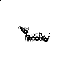 O=C1Cc2cc(-c3cnc4[nH]cc(C(=O)c5c(F)ccc(NS(=O)(=O)c6cccc(F)c6)c5F)c4c3)ccc2N1